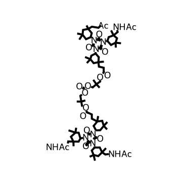 CC(=O)CCC1(C)CC(n2c(=O)n(C3CC(C)(C)CC(C)(CCC(=O)OCC(C)(C)COC(=O)OCC(C)(C)COC(=O)CCC4(C)CC(n5c(=O)n(C6CC(C)(C)CC(C)(CNC(C)=O)C6)c(=O)n(C6CC(C)(C)CC(C)(CNC(C)=O)C6)c5=O)CC(C)(C)C4)C3)c(=O)n(C3CC(C)(C)CC(C)(CNC(C)=O)C3)c2=O)CC(C)(C)C1